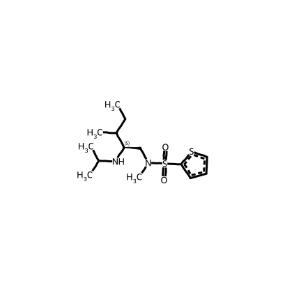 CCC(C)[C@@H](CN(C)S(=O)(=O)c1cccs1)NC(C)C